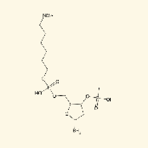 BC1CC(OP(C)(=O)O)C(COP(=O)(O)OCCCCCCNC)O1